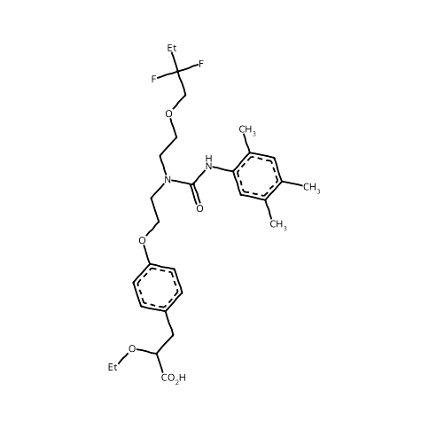 CCOC(Cc1ccc(OCCN(CCOCC(F)(F)CC)C(=O)Nc2cc(C)c(C)cc2C)cc1)C(=O)O